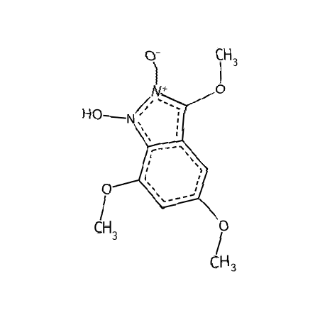 COc1cc(OC)c2c(c1)c(OC)[n+]([O-])n2O